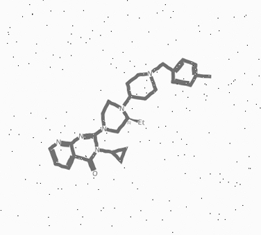 CC[C@H]1CN(c2nc3ncccc3c(=O)n2C2CC2)CCN1C1CCN(Cc2ccc(C)cc2)CC1